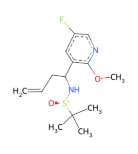 C=CCC(N[S@+]([O-])C(C)(C)C)c1cc(F)cnc1OC